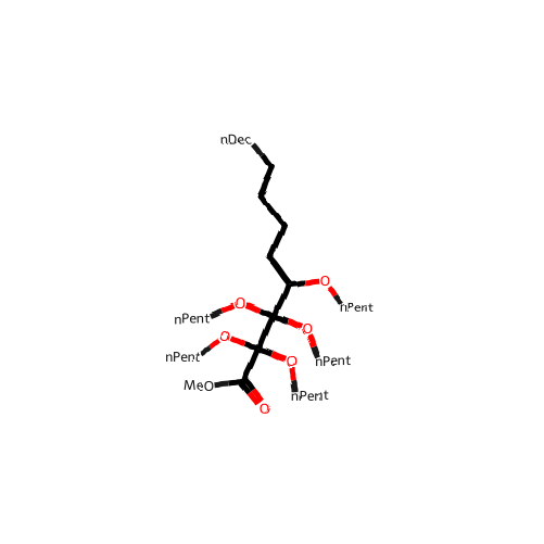 CCCCCCCCCCCCCCC(OCCCCC)C(OCCCCC)(OCCCCC)C(OCCCCC)(OCCCCC)C(=O)OC